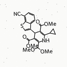 COC(=O)C1=C(C2CC2)NC(C(OC)OC)=C(C(=O)OC)C1c1csc2c(C#N)cccc12